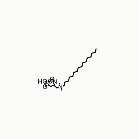 CCCCCCCCCCCCCCCC[N+](C)(C)CC(CS(=O)(=O)O)N=O